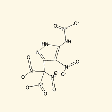 O=[N+]([O-])Nc1[nH]nc(C([N+](=O)[O-])([N+](=O)[O-])[N+](=O)[O-])c1[N+](=O)[O-]